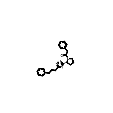 O=C(Cc1ccccc1)N1CCC[C@H]1c1nc(CCCc2ccccc2)no1